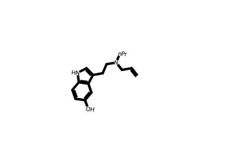 C=CCN(CCC)CCc1c[nH]c2ccc(O)cc12